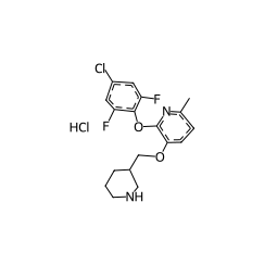 Cc1ccc(OCC2CCCNC2)c(Oc2c(F)cc(Cl)cc2F)n1.Cl